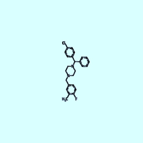 Cc1cc(CN2CCN(C(c3ccccc3)c3ccc(Cl)cc3)CC2)ccc1F